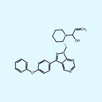 C=CC(O)N1CCCC[C@H]1Cn1nc(-c2ccc(Oc3ccccc3)cc2)c2cncnc21